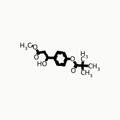 COC(=O)CC(O)c1ccc(OC(=O)C(C)(C)C)cc1